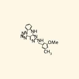 COc1cc(C)cc(CNc2ncc3c(n2)Nc2ccccc2-n2nnnc2-3)c1